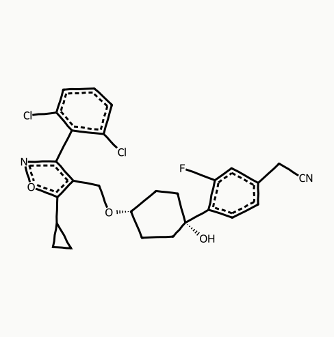 N#CCc1ccc([C@]2(O)CC[C@@H](OCc3c(-c4c(Cl)cccc4Cl)noc3C3CC3)CC2)c(F)c1